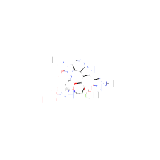 COc1nn(C)cc1-c1[nH]c2ncc3c(c2c1-c1cccc(F)c1)n([C@@H]1CC[C@@H](NC(=O)O)C1)c(=O)n3C